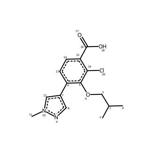 CC(C)COc1c(-c2cnn(C)c2)ccc(C(=O)O)c1Cl